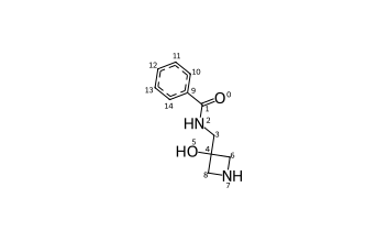 O=C(NCC1(O)CNC1)c1ccccc1